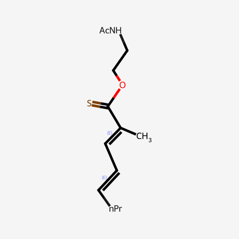 CCC/C=C/C=C(\C)C(=S)OCCNC(C)=O